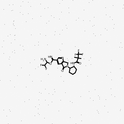 CC(C)(C(=O)N[C@@H]1CCCCC1N1Cc2ncc(C(=N)OC(N)C(F)F)cc2C1=O)C(F)(F)F